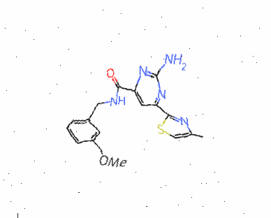 COc1cccc(CNC(=O)c2cc(-c3nc(C)cs3)nc(N)n2)c1